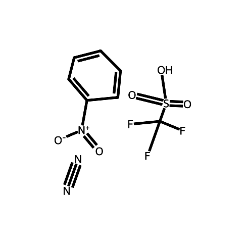 N#N.O=S(=O)(O)C(F)(F)F.O=[N+]([O-])c1ccccc1